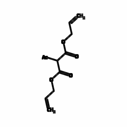 C=CCOC(=O)C(C(C)=O)C(=O)OCC=C